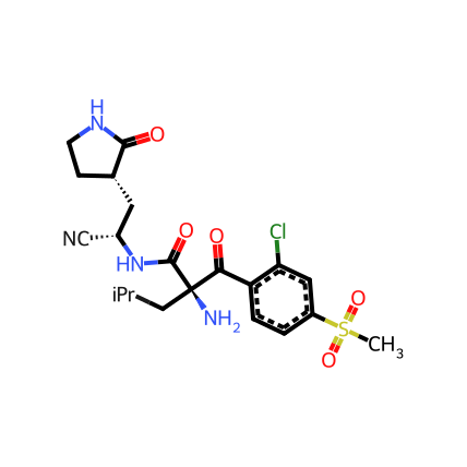 CC(C)C[C@](N)(C(=O)N[C@H](C#N)C[C@@H]1CCNC1=O)C(=O)c1ccc(S(C)(=O)=O)cc1Cl